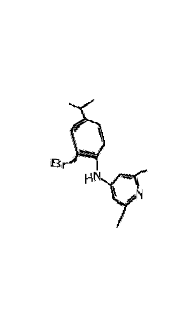 Cc1cc(Nc2ccc(C(C)C)cc2Br)cc(C)n1